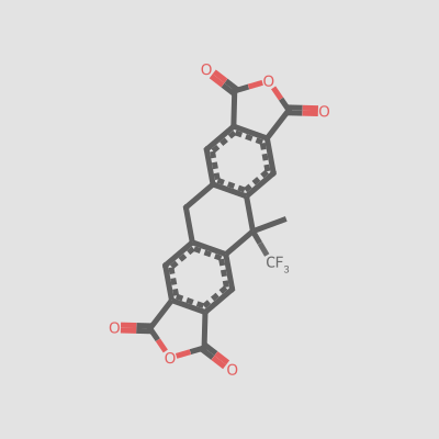 CC1(C(F)(F)F)c2cc3c(cc2Cc2cc4c(cc21)C(=O)OC4=O)C(=O)OC3=O